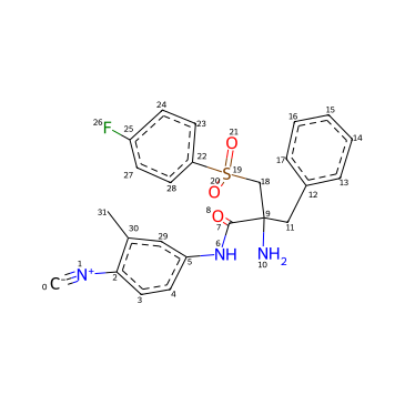 [C-]#[N+]c1ccc(NC(=O)C(N)(Cc2ccccc2)CS(=O)(=O)c2ccc(F)cc2)cc1C